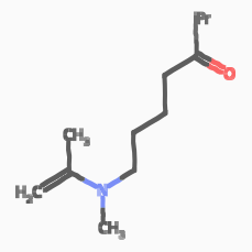 C=C(C)N(C)CCCCC(=O)C(C)C